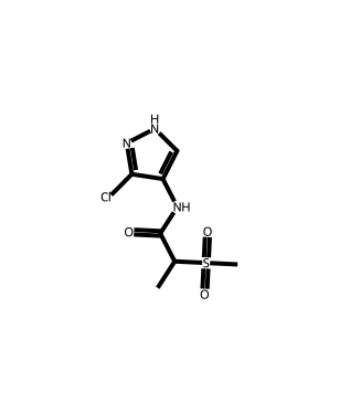 CC(C(=O)Nc1c[nH]nc1Cl)S(C)(=O)=O